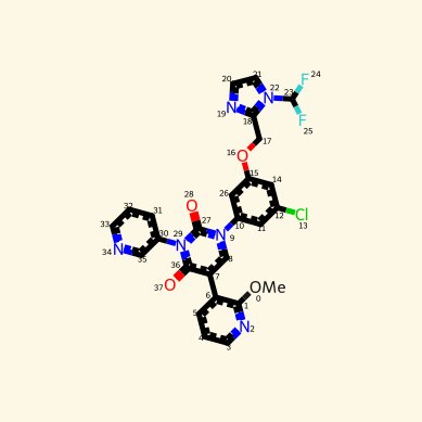 COc1ncccc1-c1cn(-c2cc(Cl)cc(OCc3nccn3C(F)F)c2)c(=O)n(-c2cccnc2)c1=O